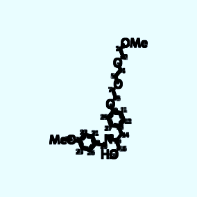 COCCOCCOCCOc1ccc(C[C@@H](CO)/N=C/c2ccc(OC)cc2)cc1